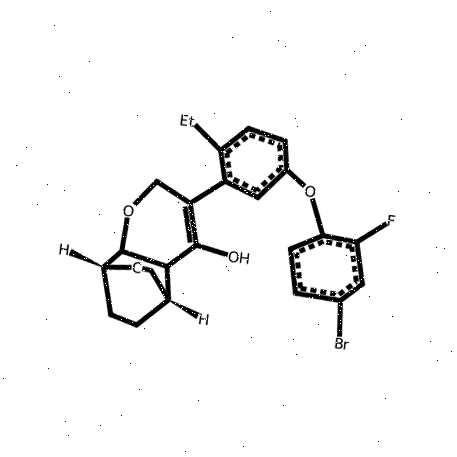 CCc1ccc(Oc2ccc(Br)cc2F)cc1C1=C(O)C2C(OC1)[C@H]1CC[C@@H]2CC1